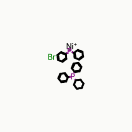 [Br-].[Ni+][P](c1ccccc1)c1ccccc1.c1ccc(P(c2ccccc2)C2CCCCC2)cc1